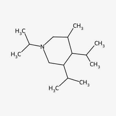 CC(C)C1CN(C(C)C)CC(C)C1C(C)C